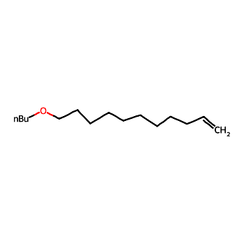 C=CCCCCCCCCCOCCCC